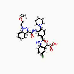 COCCn1nc(C(=O)Nc2cc(C(=O)Nc3ccc(F)cc3CC(=O)O)ccc2N2CCCCC2)c2ccccc21